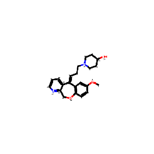 COc1ccc2c(c1)C(=CCCN1CCC(O)CC1)c1cccnc1CO2